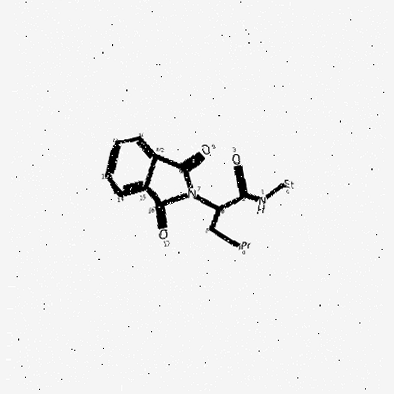 CCNC(=O)C(CC(C)C)N1C(=O)c2ccccc2C1=O